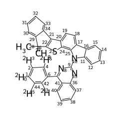 [2H]c1c([2H])c([2H])c(-c2nc(-n3c4ccccc4c4ccc5c6c(sc5c43)C(C)(C)c3ccccc3-6)nc3ccccc23)c([2H])c1[2H]